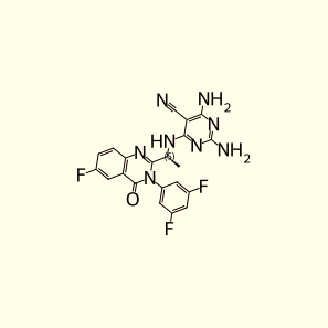 C[C@H](Nc1nc(N)nc(N)c1C#N)c1nc2ccc(F)cc2c(=O)n1-c1cc(F)cc(F)c1